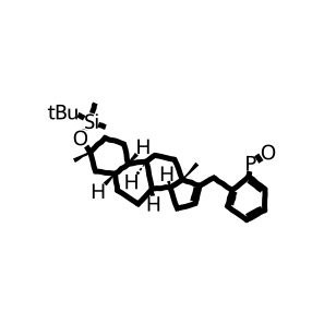 CC(C)(C)[Si](C)(C)O[C@]1(C)CC[C@H]2[C@H](CC[C@@H]3[C@@H]2CC[C@]2(C)C(Cc4ccccc4P=O)=CC[C@@H]32)C1